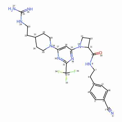 N#Cc1ccc(CCNC(=O)C2CCN2c2cc(N3CCC(CCNC(=N)N)CC3)nc(C(F)(F)F)n2)cc1